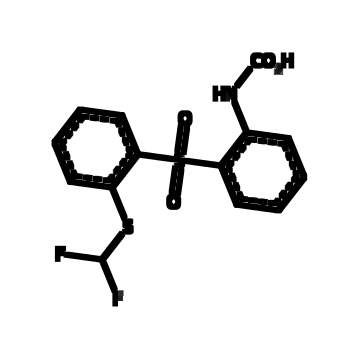 O=C(O)Nc1ccccc1S(=O)(=O)c1ccccc1SC(F)F